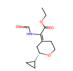 CCOC(=O)/C(NC=O)=C1\CCO[C@H](C2CC2)C1